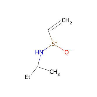 C=C[S+]([O-])NC(C)CC